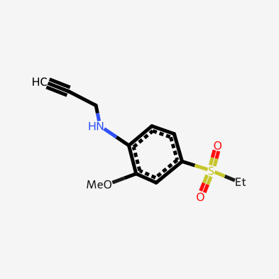 C#CCNc1ccc(S(=O)(=O)CC)cc1OC